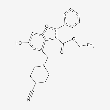 CCOC(=O)c1c(-c2ccccc2)oc2cc(O)cc(CN3CCC(C#N)CC3)c12